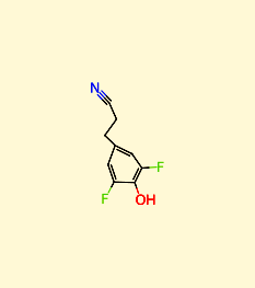 N#CCCc1cc(F)c(O)c(F)c1